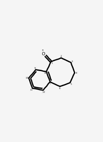 O=C1CCCCCC2=C1C=C=C=C2